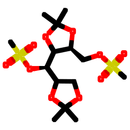 CC1(C)OCC([C@@H](OS(C)(=O)=O)C2OC(C)(C)O[C@H]2COS(C)(=O)=O)O1